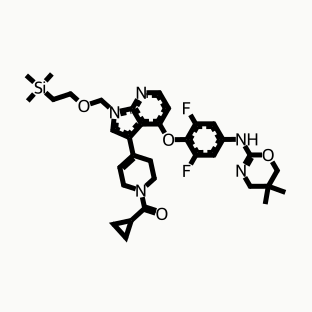 CC1(C)CN=C(Nc2cc(F)c(Oc3ccnc4c3c(C3=CCN(C(=O)C5CC5)CC3)cn4COCC[Si](C)(C)C)c(F)c2)OC1